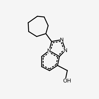 OCc1cccn2c(C3CCCCCC3)nnc12